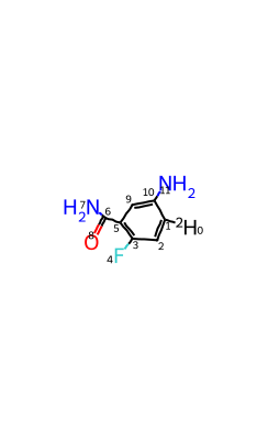 [2H]c1cc(F)c(C(N)=O)cc1N